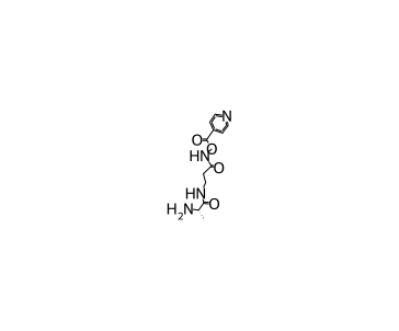 C[C@H](N)C(=O)NCCC(=O)NOC(=O)c1ccncc1